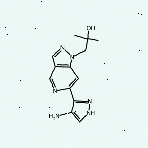 CC(C)(O)Cn1ncc2cnc(-c3n[nH]cc3N)cc21